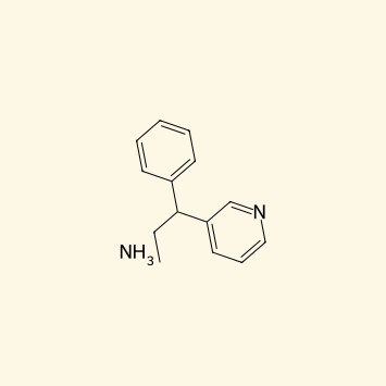 CCC(c1ccccc1)c1cccnc1.N